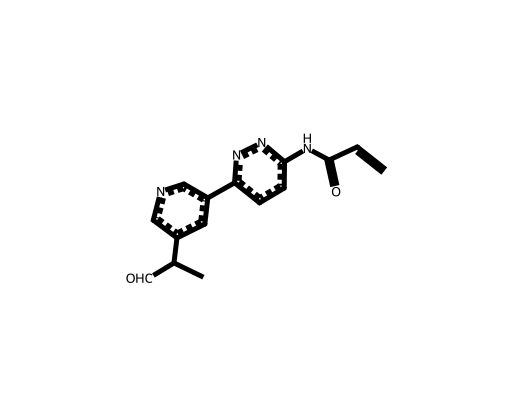 C=CC(=O)Nc1ccc(-c2cncc(C(C)C=O)c2)nn1